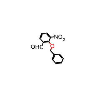 O=Cc1cccc([N+](=O)[O-])c1OCc1ccccc1